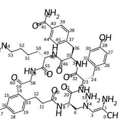 C/C(N)=C/N(N)C[C@@H](NC(=O)CCc1ccc(Cl)cc1)C(=O)N[C@@H](Cc1ccc(O)cc1)C(=O)N[C@H](Cc1ccc(C(N)=O)cc1)C(=O)N[C@@H](CCCCN)C(=O)NCC=O